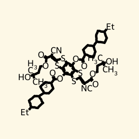 [C-]#[N+]C(C(=O)OCCC(C)(C)O)=C1Sc2c(OC(=O)C3CCC(C4CCC(CC)CC4)CC3)c3c(c(OC(=O)C4CCC(C5CCC(CC)CC5)CC4)c2S1)SC(=C(C#N)C(=O)OCCC(C)(C)O)S3